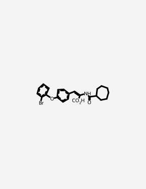 O=C(O)/C(=C\c1ccc(Oc2ccccc2Br)cc1)NC(=O)C1CCCCCC1